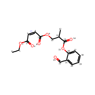 CCOC(=O)/C=C\C(=O)OCC(C)C(=O)Oc1ccccc1C=O